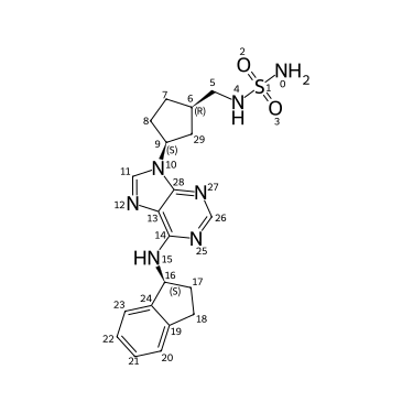 NS(=O)(=O)NC[C@@H]1CC[C@H](n2cnc3c(N[C@H]4CCc5ccccc54)ncnc32)C1